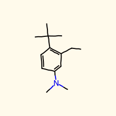 CCc1cc(N(C)C)ccc1C(C)(C)C